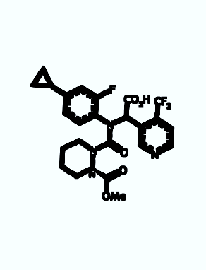 COC(=O)[C@H]1CCCCN1C(=O)N(c1ccc(C2CC2)cc1F)C(C(=O)O)c1cnccc1C(F)(F)F